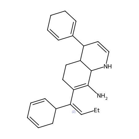 CC/C=C(\C1=C(N)C2NC=CC(C3=CCCC=C3)C2CC1)C1C=CC=CC1